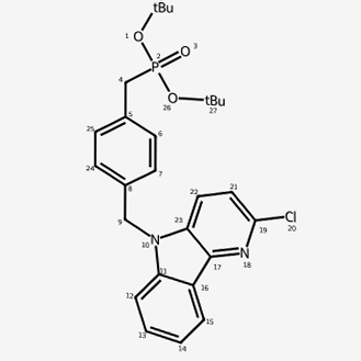 CC(C)(C)OP(=O)(Cc1ccc(Cn2c3ccccc3c3nc(Cl)ccc32)cc1)OC(C)(C)C